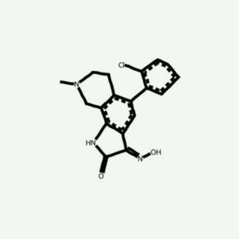 CN1CCc2c(-c3ccccc3Cl)cc3c(c2C1)NC(=O)/C3=N/O